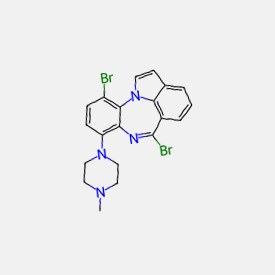 CN1CCN(c2ccc(Br)c3c2N=C(Br)c2cccc4ccn-3c24)CC1